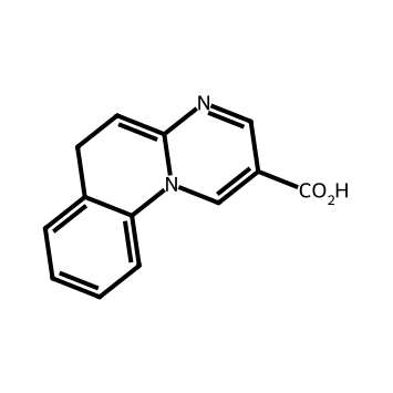 O=C(O)C1=CN2C(=CCc3ccccc32)N=C1